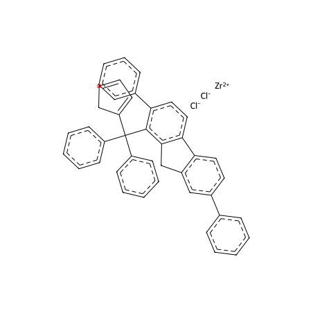 C1=CCC(C(c2ccccc2)(c2ccccc2)c2c(-c3ccccc3)ccc3c2Cc2cc(-c4ccccc4)ccc2-3)=C1.[Cl-].[Cl-].[Zr+2]